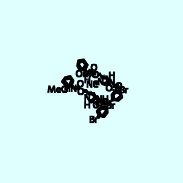 COc1ccccc1NC(=O)OC[C@H]1C[C@@H](NS(=O)(=O)c2cc(Br)ccc2Br)CN1.COc1ccccc1NC(=O)OC[C@H]1C[C@@H](NS(=O)(=O)c2cc(Br)ccc2Br)CN1C#N